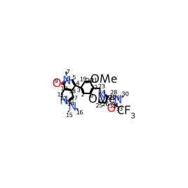 COc1cc(-c2cn(C)c(=O)c3cnc(N(C)C)cc23)cc(OC)c1CN1CC[C@H]1CN(C)C(=O)C(F)(F)F